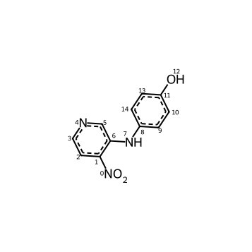 O=[N+]([O-])c1ccncc1Nc1ccc(O)cc1